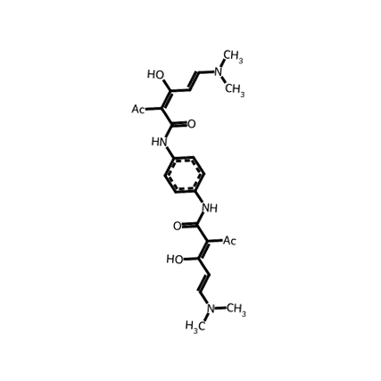 CC(=O)/C(C(=O)Nc1ccc(NC(=O)/C(C(C)=O)=C(O)\C=C\N(C)C)cc1)=C(O)\C=C\N(C)C